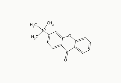 C[N+](C)(C)c1ccc2c(=O)c3ccccc3oc2c1